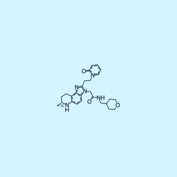 C[C@H]1CCc2c(ccc3c2nc(CCn2ccccc2=O)n3CC(=O)NCC2CCOCC2)N1